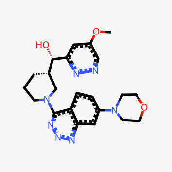 COc1cnnc([C@@H](O)[C@H]2CCCN(c3nnnc4cc(N5CCOCC5)ccc34)C2)c1